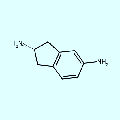 Nc1ccc2c(c1)C[C@@H](N)C2